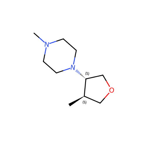 C[C@@H]1COC[C@H]1N1CCN(C)CC1